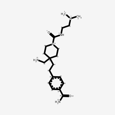 CN(C)CCNC(=O)N1CCC(CN)(CCc2ccc(C(N)=O)cc2)CC1